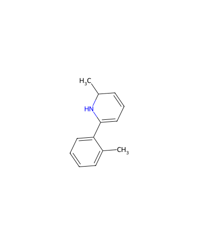 Cc1ccccc1C1=CC=CC(C)N1